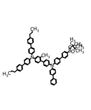 CCCc1ccc(-c2ccc(N(c3ccc(-c4ccc(CCC)cc4)cc3)c3ccc(-c4ccc(N(c5ccc(-c6ccccc6)cc5)c5ccc(-c6ccc(B7OC(C)(C)C(C)(C)O7)cc6)cc5)cc4)c(C)c3)cc2)cc1